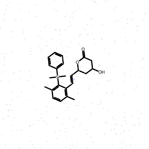 Cc1ccc(C)c([Si](C)(C)c2ccccc2)c1/C=C/C1CC(O)CC(=O)O1